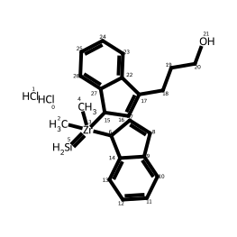 Cl.Cl.[CH3][Zr]([CH3])(=[SiH2])([CH]1C=Cc2ccccc21)[CH]1C=C(CCCO)c2ccccc21